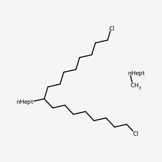 CCCCCCCC.CCCCCCCC(CCCCCCCCCl)CCCCCCCCCl